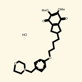 COC1=C(OC)C(=O)C2=C(CC(CCCCOc3ccc(CN4CCOCC4)cc3)C2)C1=O.Cl